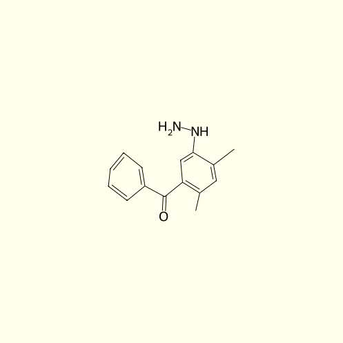 Cc1cc(C)c(C(=O)c2ccccc2)cc1NN